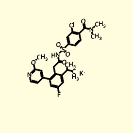 COc1cc(-c2cc(F)cc(C(C)C)c2CC(=O)NS(=O)(=O)c2ccc(C(=O)N(C)C)c(Cl)c2)ccn1.[K]